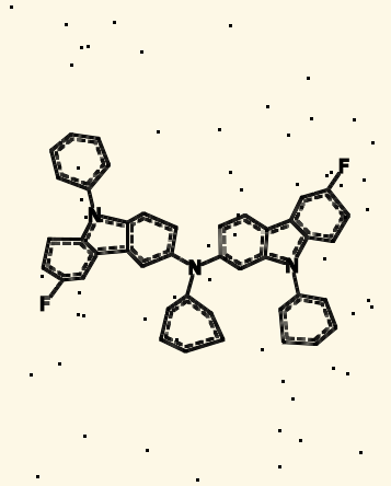 Fc1ccc2c(c1)c1cc(N(c3ccccc3)c3ccc4c5cc(F)ccc5n(-c5ccccc5)c4c3)ccc1n2-c1ccccc1